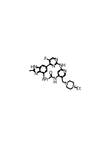 CCCC(=O)Nc1cc(Nc2ncc(F)c(-c3cc(F)c4nc(C)[nH]c4c3)n2)ncc1CN1CCN(CC)CC1